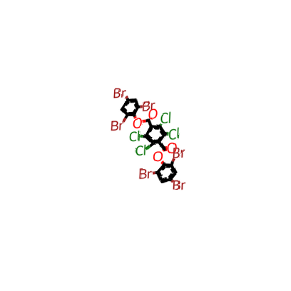 O=C(Oc1c(Br)cc(Br)cc1Br)c1c(Cl)c(Cl)c(C(=O)Oc2c(Br)cc(Br)cc2Br)c(Cl)c1Cl